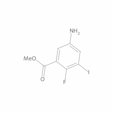 COC(=O)c1cc(N)cc(I)c1F